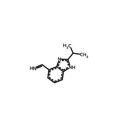 CC(C)c1nc2c(C=N)cccc2[nH]1